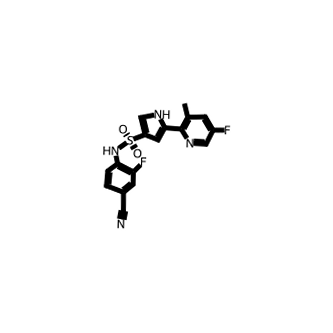 Cc1cc(F)cnc1-c1cc(S(=O)(=O)Nc2ccc(C#N)cc2F)c[nH]1